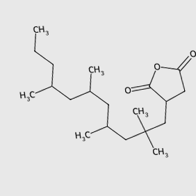 CCCC(C)CC(C)CC(C)CC(C)(C)CC1CC(=O)OC1=O